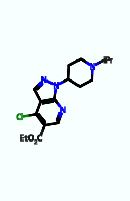 CCOC(=O)c1cnc2c(cnn2C2CCN(C(C)C)CC2)c1Cl